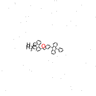 CC1(C)c2ccccc2-c2c(-c3cc4cc(-c5c6ccccc6c(-c6ccccc6)c6ccccc56)ccc4o3)cccc21